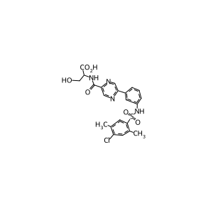 Cc1cc(S(=O)(=O)Nc2cccc(-c3cnc(C(=O)NC(CO)C(=O)O)cn3)c2)c(C)cc1Cl